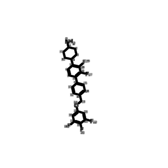 NC1CCC(c2ccc(-c3ccc(COc4cc(F)c(F)c(F)c4)cc3)c(F)c2F)CC1